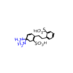 NC1(N)C=CC(CCc2ccccc2S(=O)(=O)O)=C(S(=O)(=O)O)C1